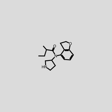 CCC(C)C(=O)N(c1cccc2c1CCO2)C1CCNC1